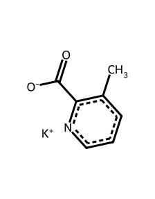 Cc1cccnc1C(=O)[O-].[K+]